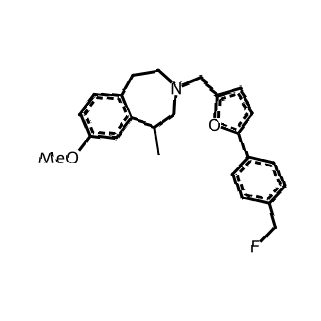 COc1ccc2c(c1)C(C)CN(Cc1ccc(-c3ccc(CF)cc3)o1)CC2